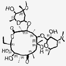 CC[C@H]1OC(=O)[C@H](C)[C@@H](OC2C[C@@](C)(OC)C(O)[C@H](C)O2)[C@H](C)[C@@H](OC2O[C@H](C)C[C@H](N(C)C)[C@H]2O)[C@](C)(O)C[C@@H](C)C(=O)[C@H](C)[C@@H](O)[C@@H]1O